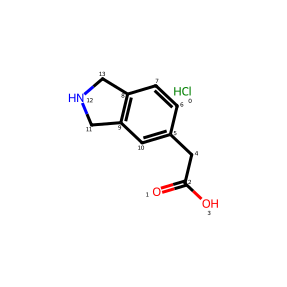 Cl.O=C(O)Cc1ccc2c(c1)CNC2